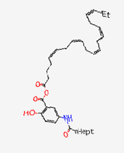 CC/C=C\C/C=C\C/C=C\C/C=C\C/C=C\CCCC(=O)OC(=O)c1cc(NC(=O)CCCCCCC)ccc1O